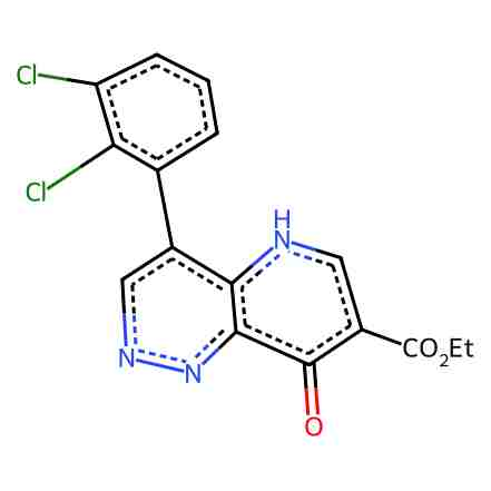 CCOC(=O)c1c[nH]c2c(-c3cccc(Cl)c3Cl)cnnc2c1=O